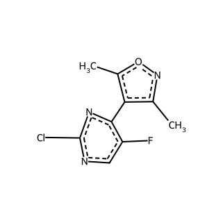 Cc1noc(C)c1-c1nc(Cl)ncc1F